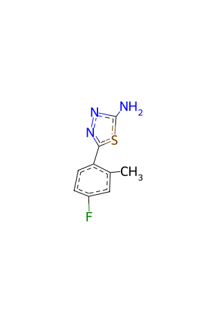 Cc1cc(F)ccc1-c1nnc(N)s1